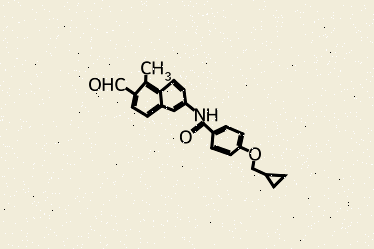 Cc1c(C=O)ccc2cc(NC(=O)c3ccc(OCC4CC4)cc3)ccc12